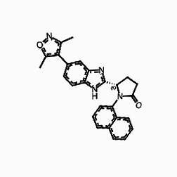 Cc1noc(C)c1-c1ccc2[nH]c([C@@H]3CCC(=O)N3c3cccc4ccccc34)nc2c1